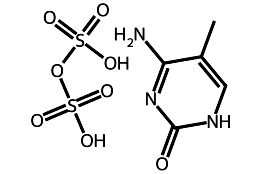 Cc1c[nH]c(=O)nc1N.O=S(=O)(O)OS(=O)(=O)O